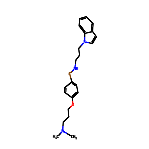 CN(C)CCCOc1ccc(SNCCCn2ccc3ccccc32)cc1